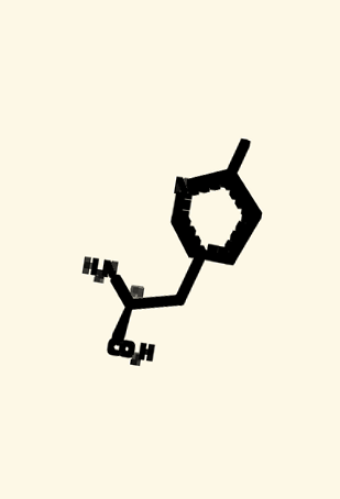 Cc1ccc(C[C@H](N)C(=O)O)cn1